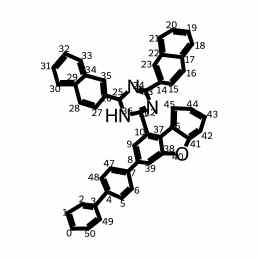 c1ccc(-c2ccc(-c3cc(C4=NC(c5ccc6ccccc6c5)=NC(c5ccc6ccccc6c5)N4)c4c(c3)oc3ccccc34)cc2)cc1